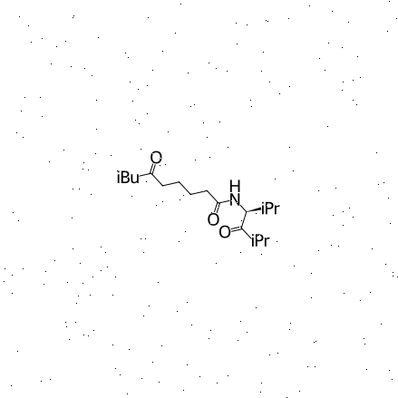 CCC(C)C(=O)CCCCC(=O)N[C@H](C(=O)C(C)C)C(C)C